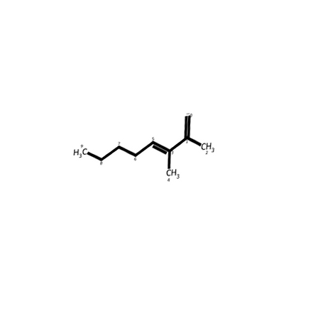 [C]=C(C)/C(C)=C/CCCC